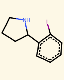 Ic1ccccc1C1CCCN1